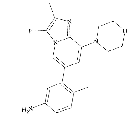 Cc1ccc(N)cc1-c1cc(N2CCOCC2)c2nc(C)c(F)n2c1